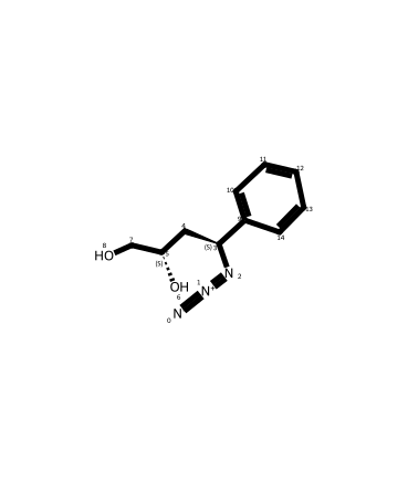 [N-]=[N+]=N[C@@H](C[C@H](O)CO)c1ccccc1